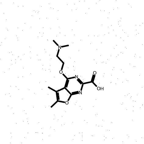 Cc1oc2nc(C(=O)O)nc(OCCN(C)C)c2c1C